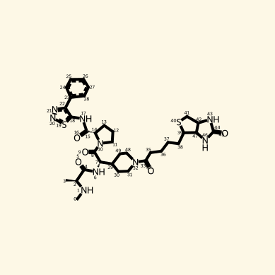 CN[C@@H](C)C(=O)N[C@H](C(=O)N1CCC[C@H]1C(=O)Nc1snnc1-c1ccccc1)C1CCN(C(=O)CCCCC2SCC3NC(=O)NC32)CC1